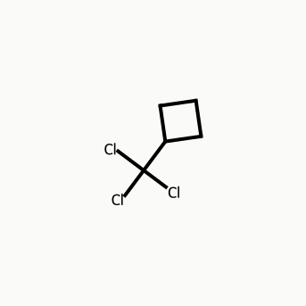 ClC(Cl)(Cl)C1CCC1